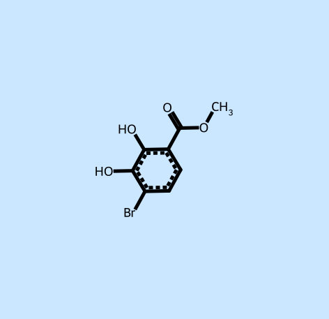 COC(=O)c1ccc(Br)c(O)c1O